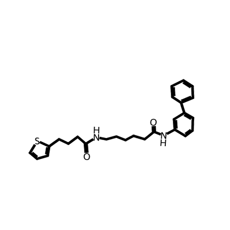 O=C(CCCc1cccs1)NCCCCCC(=O)Nc1cccc(-c2ccccc2)c1